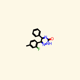 Cc1ccc(-c2n[nH]c(=O)nc2-c2ccccc2)c(F)c1